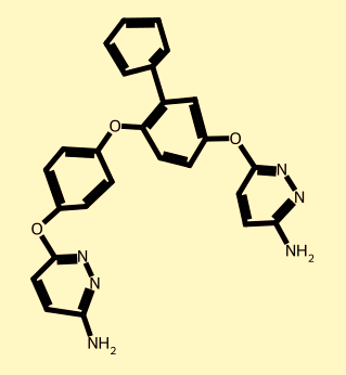 Nc1ccc(Oc2ccc(Oc3ccc(Oc4ccc(N)nn4)cc3-c3ccccc3)cc2)nn1